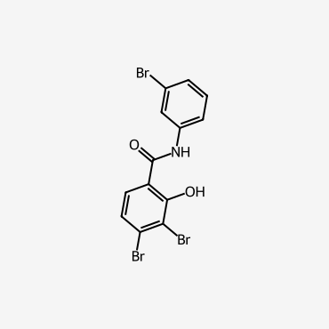 O=C(Nc1cccc(Br)c1)c1ccc(Br)c(Br)c1O